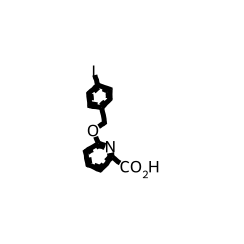 O=C(O)c1cccc(OCc2ccc(I)cc2)n1